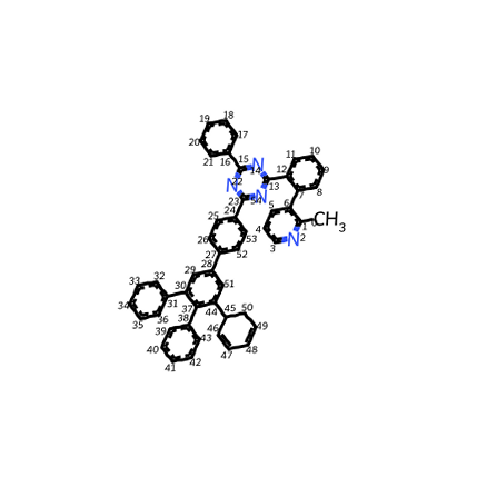 Cc1ncccc1-c1ccccc1-c1nc(-c2ccccc2)nc(-c2ccc(-c3cc(-c4ccccc4)c(-c4ccccc4)c(C4C=CC=CC4)c3)cc2)n1